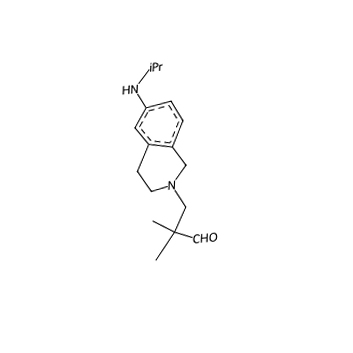 CC(C)Nc1ccc2c(c1)CCN(CC(C)(C)C=O)C2